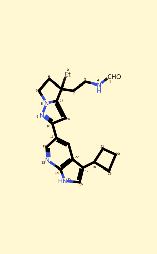 CCC1(CCNC=O)CCn2nc(-c3cnc4[nH]cc(C5CCC5)c4c3)cc21